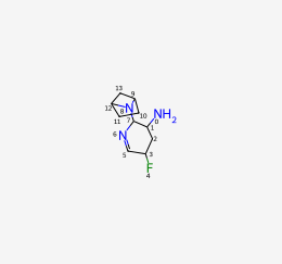 NC1CC(F)C=NC1N1C2CCC1C2